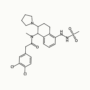 CN(C(=O)Cc1ccc(Cl)c(Cl)c1)C1c2cccc(NNS(C)(=O)=O)c2CCC1N1CCCC1